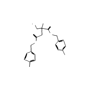 Cc1ccc(COC(=O)CC(C)(CC(C)C)C(=O)OCc2ccc(C)cc2)cc1